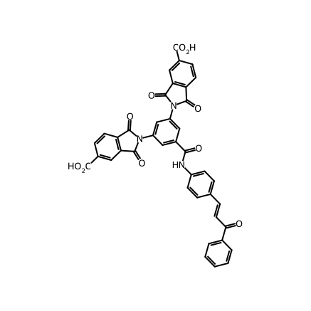 O=C(O)c1ccc2c(c1)C(=O)N(c1cc(C(=O)Nc3ccc(C=CC(=O)c4ccccc4)cc3)cc(N3C(=O)c4ccc(C(=O)O)cc4C3=O)c1)C2=O